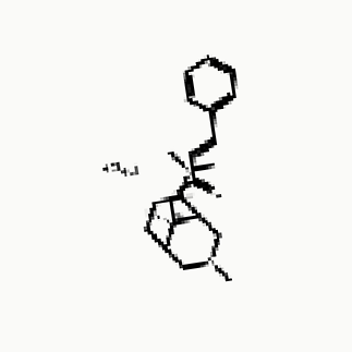 CN1CC2CC[C@@H](N(C)C)C(C1)[C@@H]2OC(=O)C=Cc1ccccc1.Cl.Cl